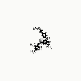 CCc1c(C(=O)NCc2c(C)cc(C)[nH]c2=O)cc2c(cnn2C)c1N(CC)[C@H]1CC[C@H](N2CC(OC)C2)CC1